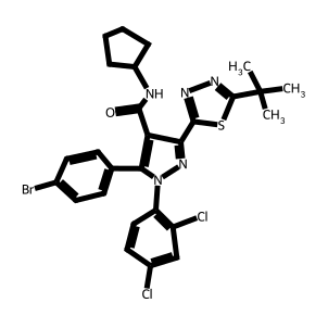 CC(C)(C)c1nnc(-c2nn(-c3ccc(Cl)cc3Cl)c(-c3ccc(Br)cc3)c2C(=O)NC2CCCC2)s1